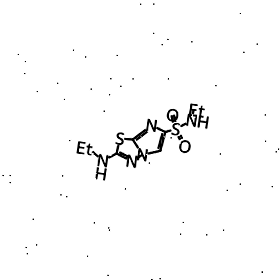 CCNc1nn2cc(S(=O)(=O)NCC)nc2s1